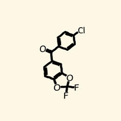 O=C(c1ccc(Cl)cc1)c1ccc2c(c1)OC(F)(F)O2